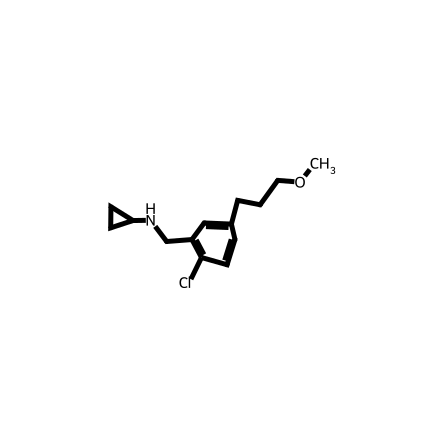 COCCCc1ccc(Cl)c(CNC2CC2)c1